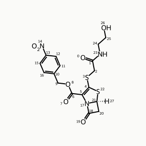 O=C(CSC1=C(C(=O)OCc2ccc([N+](=O)[O-])cc2)N2C(=O)C[C@@H]2S1)NCCO